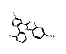 O=C(O)c1ccc(NC(=O)c2cc(F)ccc2-c2ccccc2F)c(F)c1